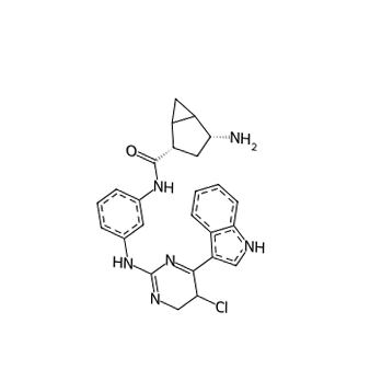 N[C@@H]1C[C@H](C(=O)Nc2cccc(NC3=NCC(Cl)C(c4c[nH]c5ccccc45)=N3)c2)C2CC21